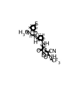 CCn1c(=C(C#N)C(=O)NCC(F)(F)F)sc(=CNc2cccc(NC(=O)CN(C)c3ccc(F)cc3)c2)c1=O